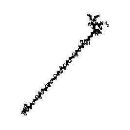 CCCN(OCC)C(=O)C1=Cc2c(cnn2CCCCCNC(=O)CCOCCOCCOCCOCCOCCOCCOCCOCCOCCOCCOCCC(=O)OC(C)(C)C)N=C(N)C1